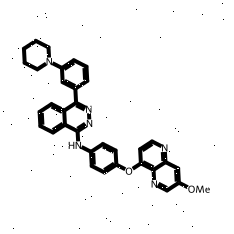 COc1cnc2c(Oc3ccc(Nc4nnc(-c5cccc(N6CCCCC6)c5)c5ccccc45)cc3)ccnc2c1